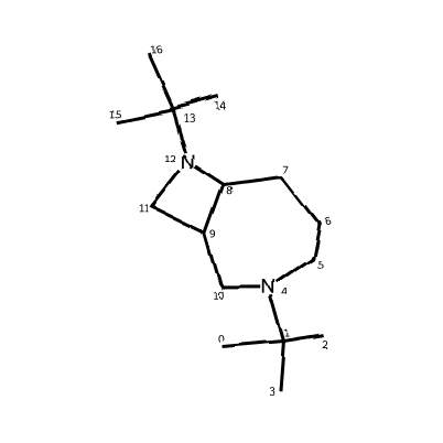 CC(C)(C)N1CCCC2C(C1)CN2C(C)(C)C